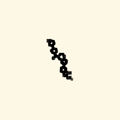 Cc1nc2ccc(-c3ccc4c(c3)CN(C(=O)N3CCC(C5CCNCC5)CC3)CCO4)cc2[nH]1